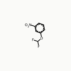 O=[N+]([O-])c1cc[c]c(OC(F)F)c1